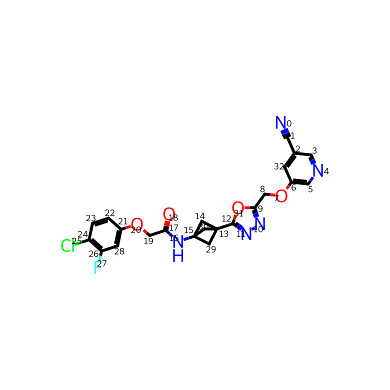 N#Cc1cncc(OCc2nnc(C34CC(NC(=O)COc5ccc(Cl)c(F)c5)(C3)C4)o2)c1